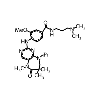 COc1cc(C(=O)NCCCN(C)C)ccc1Nc1ncc2c(n1)N(C(C)C)CC(C)(C)C(=O)N2C